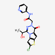 CC(O)c1nn(CC(=O)Nc2cccnc2)c(=O)c2cc3sc(Cl)cc3n12